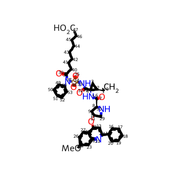 C=C[C@@H]1C[C@]1(NC(=O)[C@@H]1C[C@@H](Oc2cc(-c3ccccc3)nc3cc(OC)ccc23)CN1)C(=O)NS(=O)(=O)N(C(=O)CCCCCCCC(=O)O)c1ccccc1